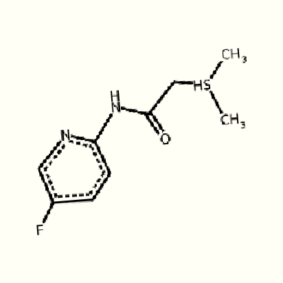 C[SH](C)CC(=O)Nc1ccc(F)cn1